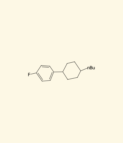 CCCCC1CCC(c2ccc(F)cc2)CC1